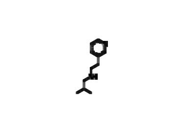 CC(C)CNCCc1cccnc1